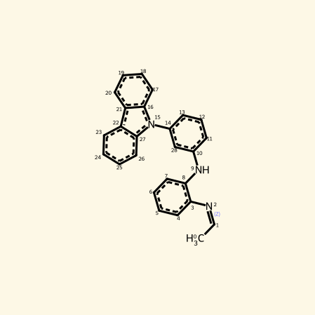 C/C=N\c1ccccc1Nc1cccc(-n2c3ccccc3c3ccccc32)c1